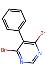 Brc1ncnc(Br)c1-c1ccccc1